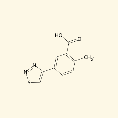 [CH2]c1ccc(-c2csnn2)cc1C(=O)O